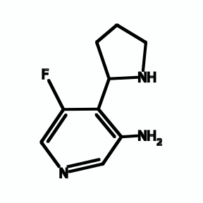 Nc1cncc(F)c1C1CCCN1